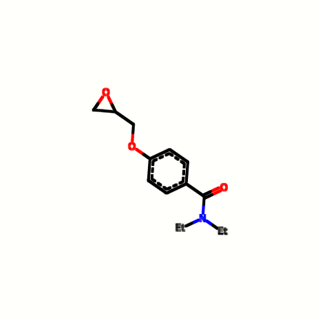 CCN(CC)C(=O)c1ccc(OCC2CO2)cc1